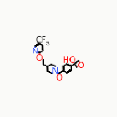 O=C(c1ccc(C2(O)COC2)cc1)N1CCC(CCOc2ccc(C(F)(F)F)cn2)CC1